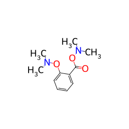 CN(C)OC(=O)c1ccccc1ON(C)C